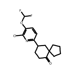 O=C1CCC(c2ccc(OC(F)F)c(Cl)n2)CC12CCCC2